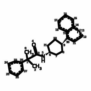 CC(C)(C(=O)N[C@H]1CC[C@@H](c2ccnc3ccccc32)CC1)c1ccccc1